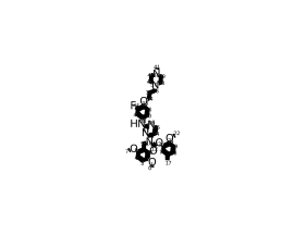 COc1ccc(OC)c(CN(C(=O)Oc2cc(C)ccc2OC)c2ccnc(Nc3ccc(OCCCN4CCN(C)CC4)c(F)c3)n2)c1